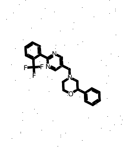 FC(F)(F)c1ccccc1-c1ncc(CN2CCOC(c3ccccc3)C2)cn1